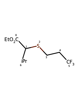 CCOC(=O)C(SCCC(F)(F)F)C(C)C